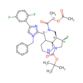 CC(=O)O[C@@H](C)C(=O)N(C[C@@H]1CN(C(=O)OC(C)(C)C)C[C@@H]1F)[C@@H](c1nc(-c2cc(F)ccc2F)cn1Cc1ccccc1)C1CCNCC1